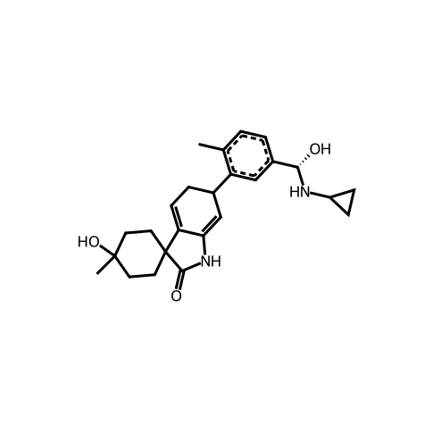 Cc1ccc([C@H](O)NC2CC2)cc1C1C=C2NC(=O)C3(CCC(C)(O)CC3)C2=CC1